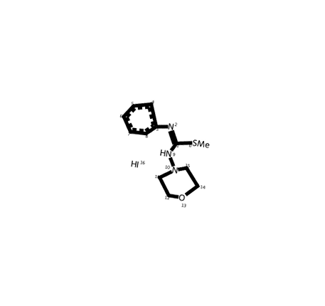 CSC(=Nc1ccccc1)NN1CCOCC1.I